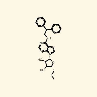 CSC[C@H]1O[C@@H](n2cnc3c(NCC(c4ccccc4)c4ccccc4)ncnc32)[C@H](O)[C@@H]1O